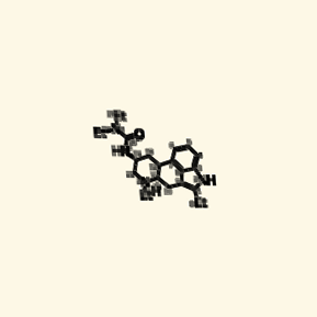 CCc1[nH]c2cccc3c2c1C[C@@H]1C3C[C@H](NC(=O)N(CC)CC)CN1CC